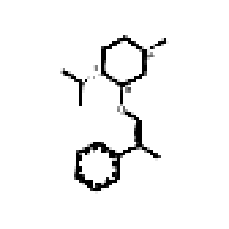 CC(=CO[C@@H]1C[C@H](C)CC[C@H]1C(C)C)c1ccccc1